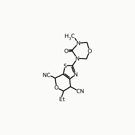 CCC1OC(C#N)c2sc(N3COCN(C)C3=O)nc2C1C#N